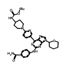 CC(C)(C)OC(=O)NC1CCN(c2ccc(-c3nc(Nc4ccc(C(N)=O)cc4)nc4c3ncn4C3CCCCO3)cn2)CC1